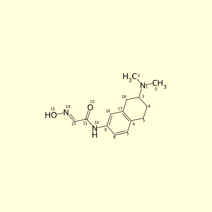 CN(C)C1CCc2ccc(NC(=O)/C=N/O)cc2C1